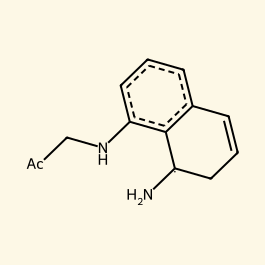 CC(=O)CNc1cccc2c1[C](N)CC=C2